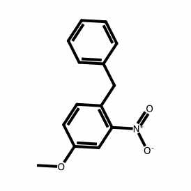 COc1ccc(Cc2ccccc2)c([N+](=O)[O-])c1